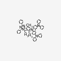 Cc1cc(-n2c3ccc(N(c4ccccc4)c4ccccc4)cc3c3cc(N(c4ccccc4)c4ccccc4)ccc32)c(C)c(C)c1-c1nc(-c2ccccc2)nc(-c2ccccc2)n1